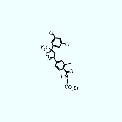 CCOC(=O)CNC(=O)c1ccc(C2=NOC(c3cc(Cl)cc(Cl)c3)(C(F)(F)F)C2)cc1C